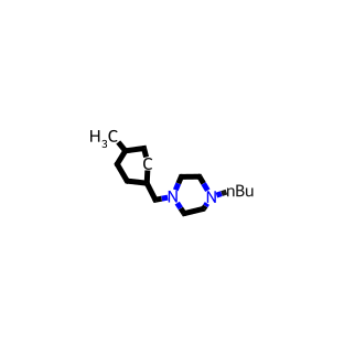 CCCCN1CCN(CC2CCC(C)CC2)CC1